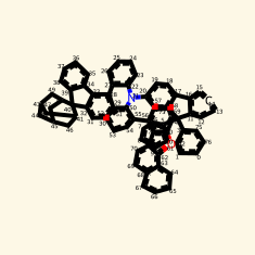 c1ccc(C2(c3ccccc3)c3ccccc3-c3ccc(N(c4ccccc4-c4cccc5c4-c4ccccc4C54C5CC6CC(C5)CC4C6)c4ccccc4-c4cccc5oc6c7ccccc7ccc6c45)cc32)cc1